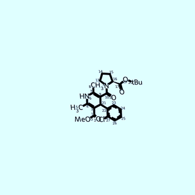 COC(=O)C1=C(C)NC(C)=C(C(=O)N2CCC[C@H]2C(=O)OC(C)(C)C)C1c1ccccc1Cl